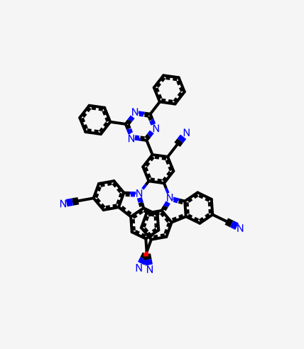 N#Cc1ccc2c(c1)c1cc(C#N)ccc1n2-c1cc(C#N)c(-c2nc(-c3ccccc3)nc(-c3ccccc3)n2)cc1-n1c2ccc(C#N)cc2c2cc(C#N)ccc21